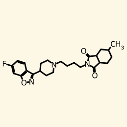 CC1CCC2C(=O)N(CCCCN3CCC(c4noc5cc(F)ccc45)CC3)C(=O)C2C1